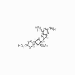 CCCCNc1nc(N=[N+]=[N-])nc2cn(Cc3ccc(N4CCC(C(=O)O)CC4)cc3OC)nc12